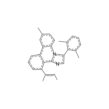 CC=C(C)c1cccc2c3cc(C)ccc3n3c(-c4c(C)cccc4C)cnc3c12